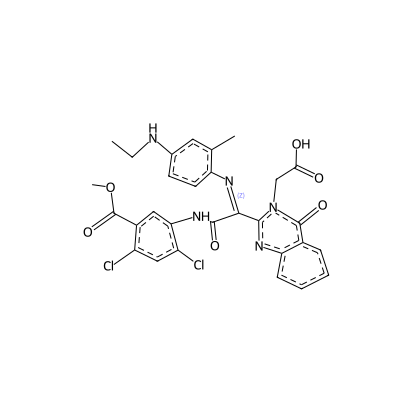 CCNc1ccc(/N=C(\C(=O)Nc2cc(C(=O)OC)c(Cl)cc2Cl)c2nc3ccccc3c(=O)n2CC(=O)O)c(C)c1